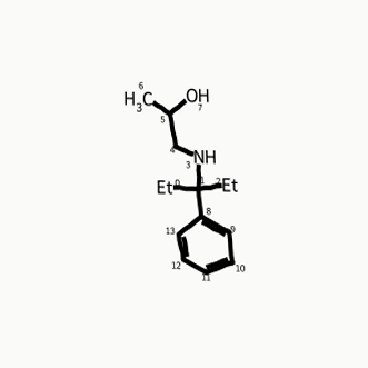 CCC(CC)(NCC(C)O)c1ccccc1